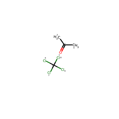 CC(C)=O.ClC(Cl)(Cl)Cl